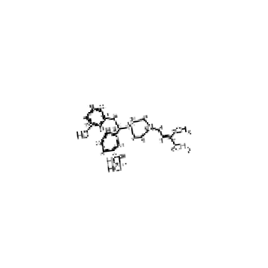 CC(C)=CCN1CCN(C(Cc2cccc(O)c2)c2ccccc2)CC1.Cl.Cl